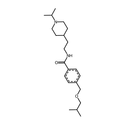 CC(C)COCc1ccc(C(=O)NCCC2CCN(C(C)C)CC2)cc1